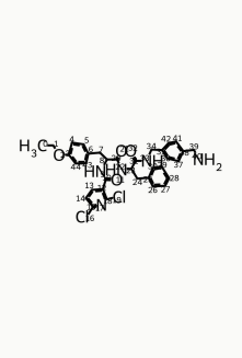 CCOc1ccc(CC(NC(=O)c2ccc(Cl)nc2Cl)C(=O)NC(Cc2ccccc2)C(=O)NCc2ccc(CN)cc2)cc1